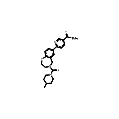 CNC(=O)c1ccc(-c2ccc3c(c2)CN(C(=O)N2CCC(C)CC2)CCO3)nc1